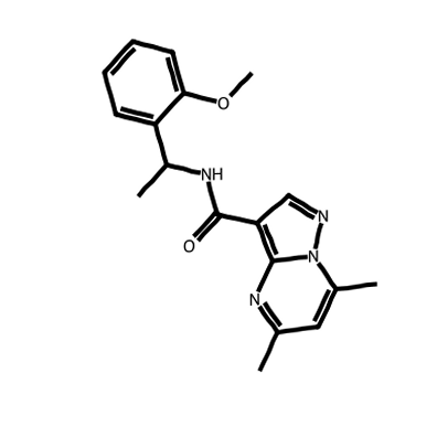 COc1ccccc1C(C)NC(=O)c1cnn2c(C)cc(C)nc12